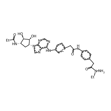 CCC(=O)N[C@H]1C[C@@H](n2cnc3c(Nc4ccc(CC(=O)Nc5ccc(CC(=O)N(N)CC)cc5)cc4)ncnc32)[C@H](O)[C@@H]1O